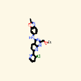 CCOCc1nc(Nc2ccc3nc(C)oc3c2)c2ccc(-c3ncccc3Cl)nc2n1